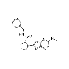 CN(C)c1cnc2nc(N3CCC[C@@H]3C(=O)NCc3ccccc3)sc2n1